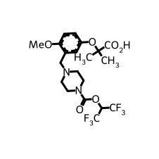 COc1ccc(OC(C)(C)C(=O)O)cc1CN1CCN(C(=O)OC(C(F)(F)F)C(F)(F)F)CC1